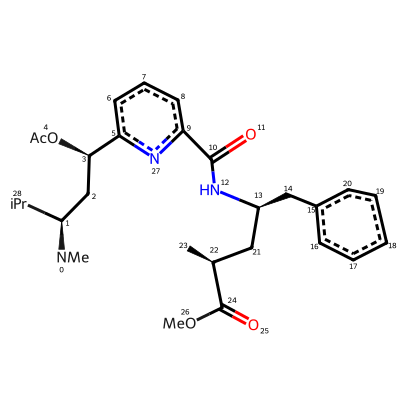 CN[C@H](C[C@@H](OC(C)=O)c1cccc(C(=O)N[C@@H](Cc2ccccc2)C[C@H](C)C(=O)OC)n1)C(C)C